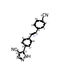 N#Cc1ccc(/C=C/c2ccc(-c3[nH]nnc3C#N)cc2)cc1